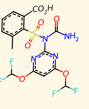 Cc1cccc(C(=O)O)c1S(=O)(=O)N(C(N)=O)c1nc(OC(F)F)cc(OC(F)F)n1